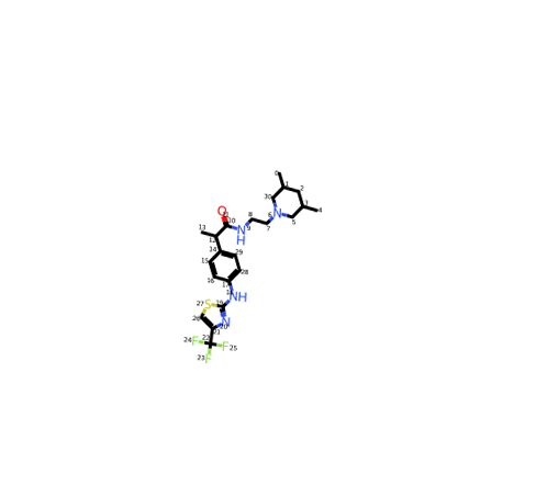 CC1CC(C)CN(CCNC(=O)C(C)c2ccc(Nc3nc(C(F)(F)F)cs3)cc2)C1